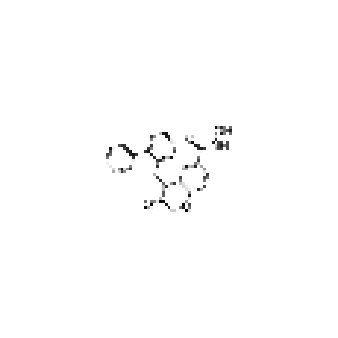 O=C(NO)c1ccc2c(c1)N(Cc1ccccc1-c1ccccc1)C(=O)CO2